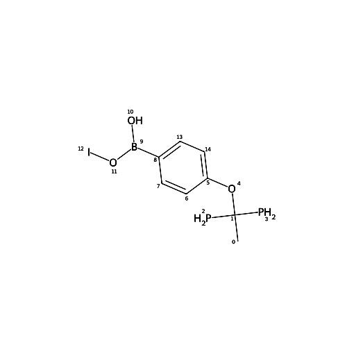 CC(P)(P)Oc1ccc(B(O)OI)cc1